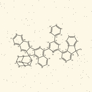 CC1(C)c2ccccc2-c2c(-c3cc(-c4ccccc4)cc(-c4cc5c(c6ccccc46)C4(c6cc7ccccc7cc6-5)C5CC6CC(C5)CC4C6)n3)cccc21